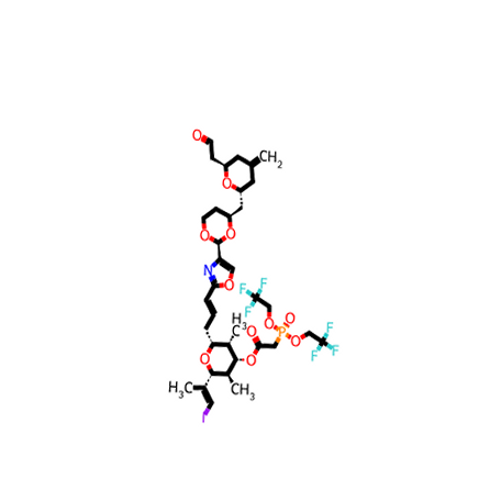 C=C1C[C@H](C[C@@H]2CCO[C@H](c3coc(/C=C/C[C@H]4O[C@@H](/C(C)=C/I)[C@H](C)[C@@H](OC(=O)CP(=O)(OCC(F)(F)F)OCC(F)(F)F)[C@H]4C)n3)O2)O[C@@H](CC=O)C1